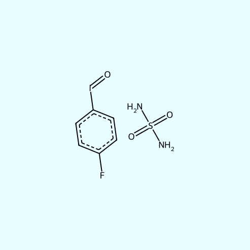 NS(N)(=O)=O.O=Ic1ccc(F)cc1